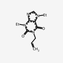 C=CCn1c(=O)c2c(ncn2CC)n(CC)c1=O